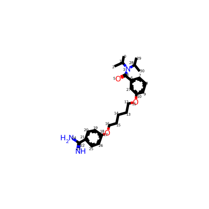 CC(C)N(C(=O)c1cccc(OCCCCCOc2ccc(C(=N)N)cc2)c1)C(C)C